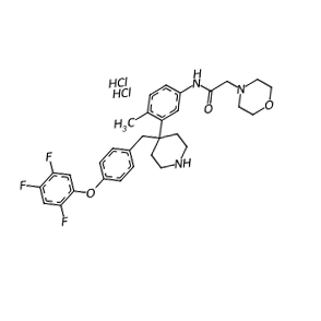 Cc1ccc(NC(=O)CN2CCOCC2)cc1C1(Cc2ccc(Oc3cc(F)c(F)cc3F)cc2)CCNCC1.Cl.Cl